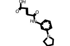 O=C(O)/C=C/C(=O)Nc1cccc(N2CCCC2)c1